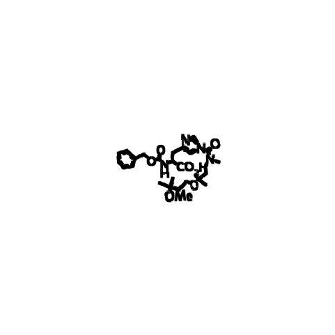 COC(C)(C)CCOC(C)(C)CCN(C)C(=O)n1cnc(CC(NC(=O)OCc2ccccc2)C(=O)O)c1